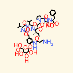 CC[C@H](C)[C@@H]([C@@H](CC(=O)N1CCC[C@H]1[C@H](OC)[C@@H](C)C(=O)N[C@@H](Cc1ccccc1)C(=O)O)OC)N(C)C(=O)[C@@H](NC(=O)[C@H](C(C)C)N(C)C(=O)OCc1ccc(OC2OC(C(=O)O)[C@@H](O)C(O)[C@H]2O)c(NC(=O)CCN)c1)C(C)C